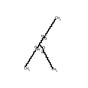 CCCCCCCCCCCCCCCCNC(=O)CCCCCC(CCC(=O)NCCCCCCCCCCCCCCCC)CCC(=O)NCCCCCCCCCCCCCCCC